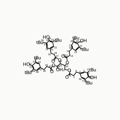 CC(C)(C)c1cc(CCC(=O)OCC(OC(=O)CCc2cc(C(C)(C)C)c(O)c(C(C)(C)C)c2)C(OC(=O)CCc2cc(C(C)(C)C)c(O)c(C(C)(C)C)c2)C(O)OC(=O)CCc2cc(C(C)(C)C)c(O)c(C(C)(C)C)c2)cc(C(C)(C)C)c1O